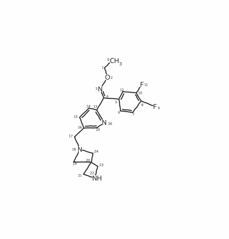 CCON=C(c1ccc(F)c(F)c1)c1ccc(CN2CC3(CNC3)C2)cn1